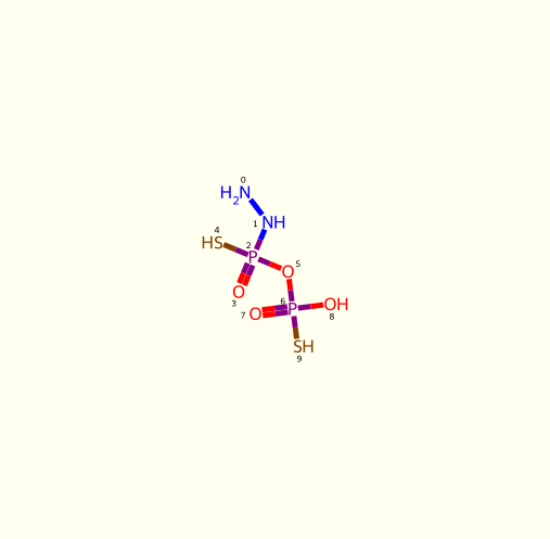 NNP(=O)(S)OP(=O)(O)S